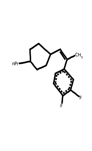 CCCC1CCC(C=C(C)c2ccc(F)c(F)c2)CC1